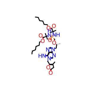 CCCCCCOC(=O)C(C)(C)NP(=O)(CO[C@H](C)Cn1cnc2c(=N)n(CC3=C(C)CC(=O)O3)cnc21)NC(C)(C)C(=O)OCCCCCC